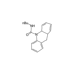 CCCCNC(=O)N1c2ccccc2CC2C=CC=CC21